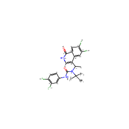 BC(B)(B)N(C(=O)Nc1ccc(F)c(Cl)c1)C(C)c1c[nH]c(=O)c2cc(F)c(F)cc12